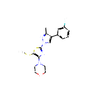 Cc1nn(-c2nc(N3CCOCC3)c(SC(C)C)s2)cc1-c1cccc(F)c1